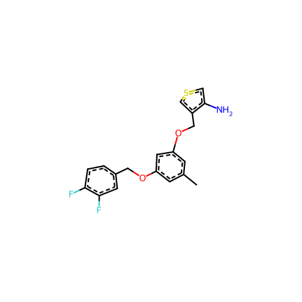 Cc1cc(OCc2ccc(F)c(F)c2)cc(OCc2cscc2N)c1